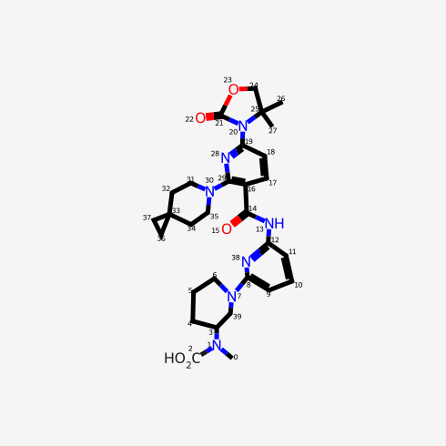 CN(C(=O)O)C1CCCN(c2cccc(NC(=O)c3ccc(N4C(=O)OCC4(C)C)nc3N3CCC4(CC3)CC4)n2)C1